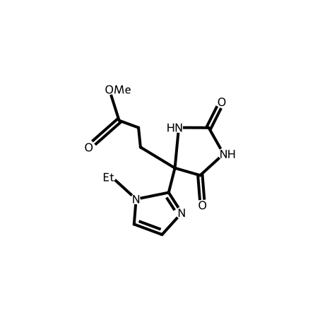 CCn1ccnc1C1(CCC(=O)OC)NC(=O)NC1=O